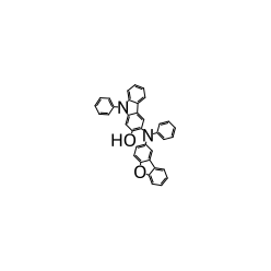 Oc1cc2c(cc1N(c1ccccc1)c1ccc3oc4ccccc4c3c1)c1ccccc1n2-c1ccccc1